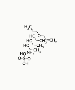 C=CCOCC=C.CCO.CCO.CCO.N.O=S(=O)(O)O